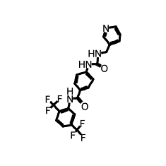 O=C(NCc1cccnc1)Nc1ccc(C(=O)Nc2cc(C(F)(F)F)ccc2C(F)(F)F)cc1